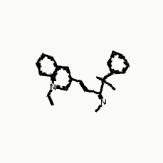 CC[n+]1cc(/C=C/C(=N\C)C(C)(C)c2ccccc2)cc2ccccc21